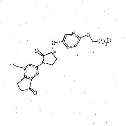 CCOC(=O)COc1ccc(O[C@@H]2CCN(c3cc(F)c4c(c3)C(=O)CC4)C2=O)cn1